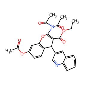 CCOC(=O)C1=C(N(C(C)=O)C(C)=O)Oc2cc(OC(C)=O)ccc2C1c1cnc2ccccc2c1